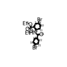 CCOP(=O)(OCC)c1cc(Br)ccc1NC(=O)c1ccc(Br)cc1